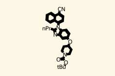 CCCc1nc2cc(OC3CCN(C(=O)OC(C)(C)C)CC3)ccc2n1-c1ccc(C#N)c2ccccc12